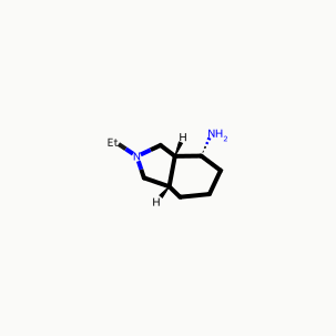 CCN1C[C@H]2CCC[C@@H](N)[C@H]2C1